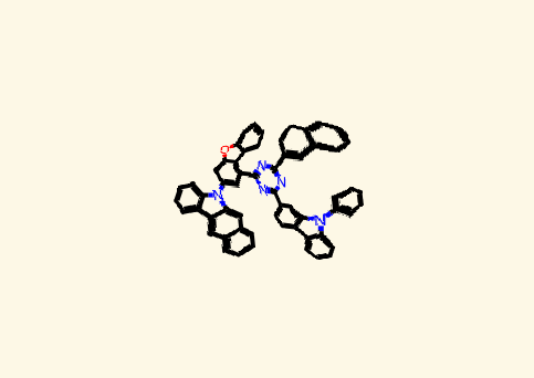 c1ccc(-n2c3ccccc3c3ccc(-c4nc(-c5ccc6ccccc6c5)nc(-c5cc(-n6c7ccccc7c7cc8ccccc8cc76)cc6oc7ccccc7c56)n4)cc32)cc1